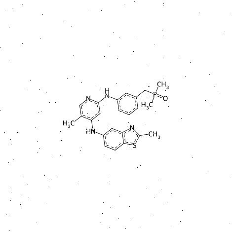 Cc1nc2cc(Nc3cc(Nc4cccc(CP(C)(C)=O)c4)ncc3C)ccc2s1